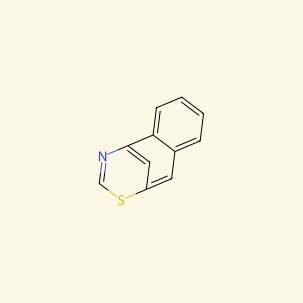 C1=Nc2cc(cc3ccccc23)S1